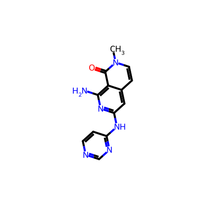 Cn1ccc2cc(Nc3ccncn3)nc(N)c2c1=O